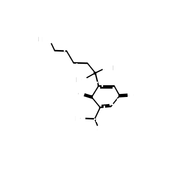 CCCCCC(C)(C)C1=CC(=O)C=C(C(C)C)C1=O